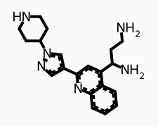 NCCC(N)c1cc(-c2cnn(C3CCNCC3)c2)nc2ccccc12